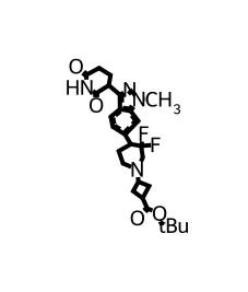 Cn1nc(C2CCC(=O)NC2=O)c2ccc(C3CCN(C4CC(C(=O)OC(C)(C)C)C4)CC3(F)F)cc21